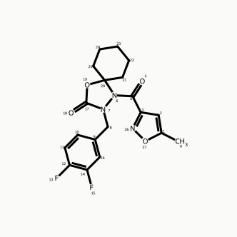 Cc1cc(C(=O)N2N(Cc3ccc(F)c(F)c3)C(=O)OC23CCCCC3)no1